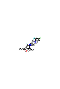 COC(=O)c1cc(F)c(N2CC3(CCN(c4ccc(Cl)cc4F)CC3)C2)cc1OC